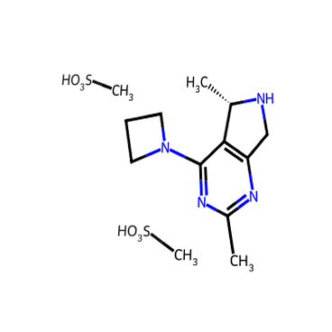 CS(=O)(=O)O.CS(=O)(=O)O.Cc1nc2c(c(N3CCC3)n1)[C@H](C)NC2